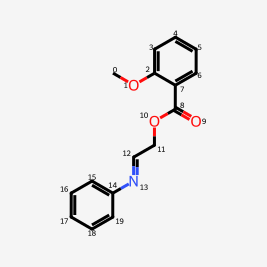 COc1ccccc1C(=O)OCC=Nc1ccccc1